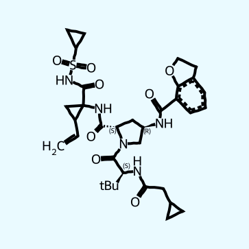 C=CC1CC1(NC(=O)[C@@H]1C[C@@H](NC(=O)c2cccc3c2OCC3)CN1C(=O)[C@@H](NC(=O)CC1CC1)C(C)(C)C)C(=O)NS(=O)(=O)C1CC1